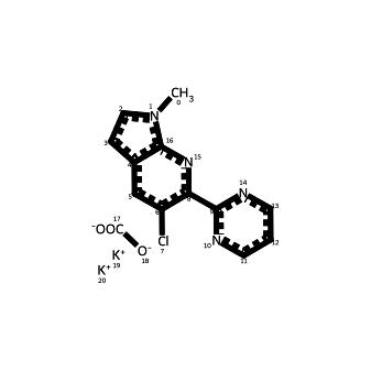 Cn1ccc2cc(Cl)c(-c3ncccn3)nc21.O=C([O-])[O-].[K+].[K+]